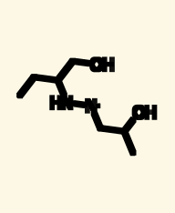 CCC(CO)N[N]CC(C)O